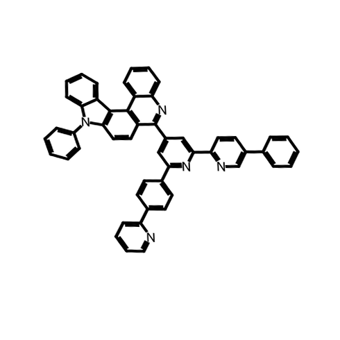 c1ccc(-c2ccc(-c3cc(-c4nc5ccccc5c5c4ccc4c5c5ccccc5n4-c4ccccc4)cc(-c4ccc(-c5ccccn5)cc4)n3)nc2)cc1